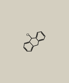 ClC1c2ccccc2Cc2ccccc21